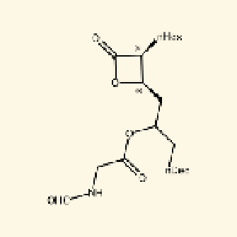 CCCCCCCCCCCC(C[C@H]1OC(=O)[C@H]1CCCCCC)OC(=O)CNC=O